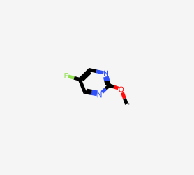 [CH2]Oc1ncc(F)cn1